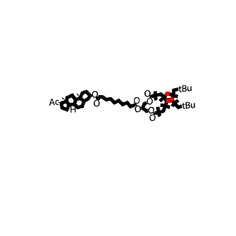 CC(=O)[C@H]1CCC2[C@@H]3CCC4C[C@@H](OC(=O)CCCCCCCCC(=O)OC(COC(=O)C(C)(C)CC(C)(C)/C=C\C(C)(C)CC(C)(C)C)COC(=O)C(C)(C)CC(C)(C)/C=C\C(C)(C)CC(C)(C)C)CC[C@]4(C)C3CC[C@@]21C